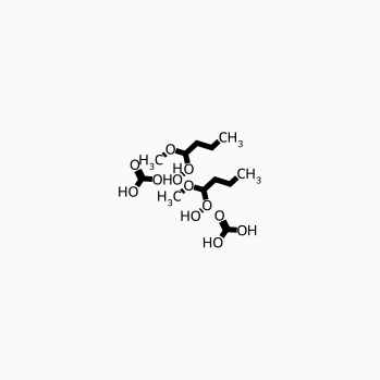 CCCC(OC)OO.CCCC(OC)OO.O=C(O)O.O=C(O)O